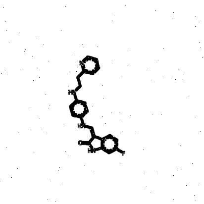 O=C1Nc2cc(F)ccc2C1=CNc1ccc(NCCc2ccccn2)cc1